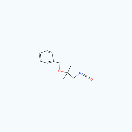 CC(C)(CN=C=O)OCc1ccccc1